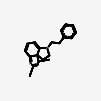 CC1=CC(C)C23CCN(CCc4ccccc4)C2=CC=CC3=N1